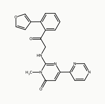 Cn1c(NCC(=O)c2ccccc2-c2ccoc2)nc(-c2ccncn2)cc1=O